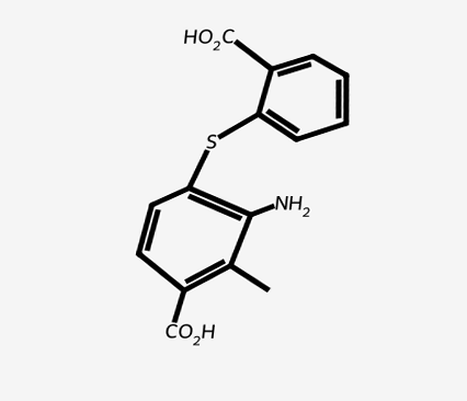 Cc1c(C(=O)O)ccc(Sc2ccccc2C(=O)O)c1N